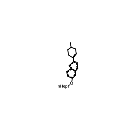 CCCCCCCOc1ccc2cc(C3=CCC(C)CC3)ccc2c1